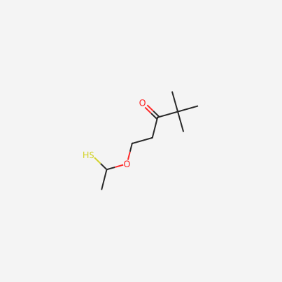 CC(S)OCCC(=O)C(C)(C)C